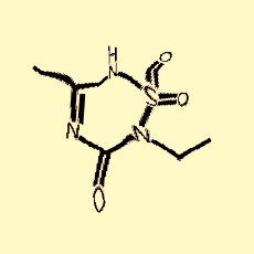 CCN1C(=O)N=C(C)NS1(=O)=O